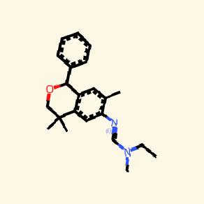 CCN(C)/C=N/c1cc2c(cc1C)C(c1ccccc1)OCC2(C)C